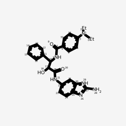 CCN(CC)c1ccc(C(=O)NC(c2ccccc2)C(O)C(=O)Nc2ccc3nc(N)[nH]c3c2)cc1